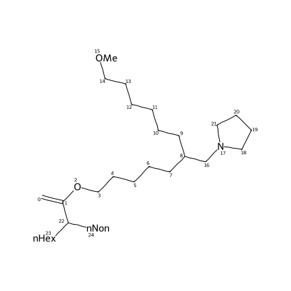 C=C(OCCCCCC(CCCCCCOC)CN1CCCC1)C(CCCCCC)CCCCCCCCC